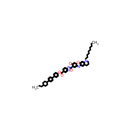 CCCCCCCCCCN1CCCc2cc3nc4cc(C(=O)Nc5ccc(C(=O)Oc6ccc(-c7ccc(C8CCC(CCC)CC8)cc7)cc6)cc5)c(=O)cc-4oc3cc21